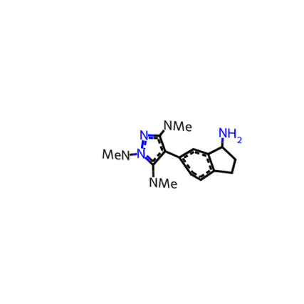 CNc1nn(NC)c(NC)c1-c1ccc2c(c1)C(N)CC2